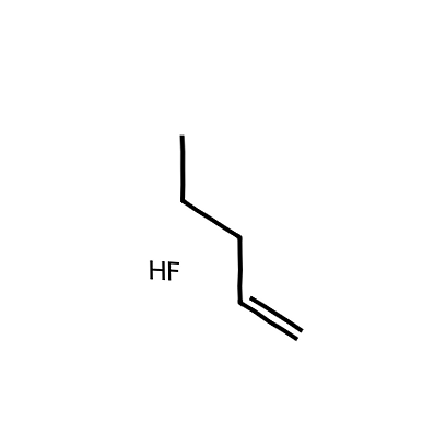 C=CCCC.F